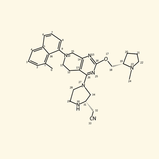 Cc1cccc2cccc(N3CCc4c(nc(OC[C@@H]5CCCN5C)nc4N4CCN[C@@H](CC#N)C4)C3)c12